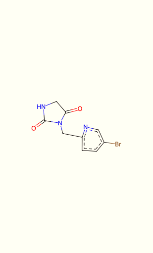 O=C1CNC(=O)N1Cc1ccc(Br)cn1